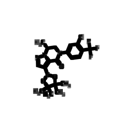 C[C@H]1CN(c2ccc(C(F)(F)F)c(Cl)c2)C(=O)c2c(B3OC(C)(C)C(C)(C)O3)cnn21